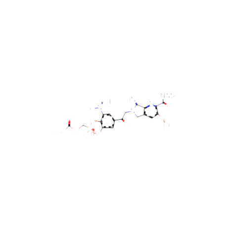 CCOc1cc2c(nc1C(=O)NC)C(=N)N(CC(=O)c1cc(N(C)C)c(OS(=O)(=O)COC(=O)C(F)(F)F)c(C(C)(C)C)c1)C2